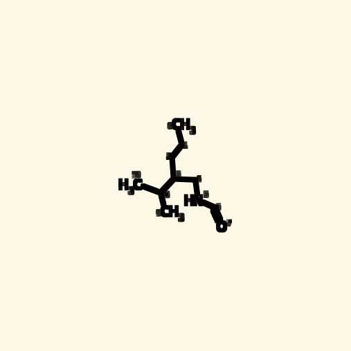 CCCC(CNC=O)C(C)C